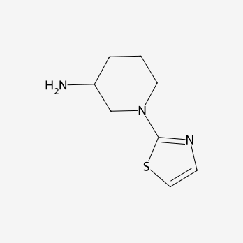 NC1CCCN(c2nccs2)C1